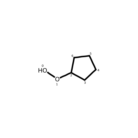 OOC1CCCC1